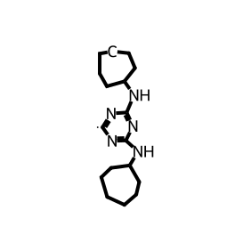 [c]1nc(NC2CCCCCC2)nc(NC2CCCCCC2)n1